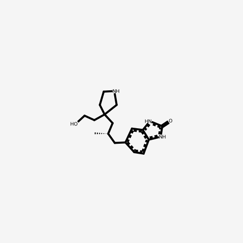 C[C@@H](Cc1ccc2[nH]c(=O)[nH]c2c1)CC1(CCO)CCNC1